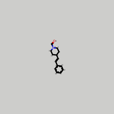 O=CN1CCC(C=Cc2ccccc2)CC1